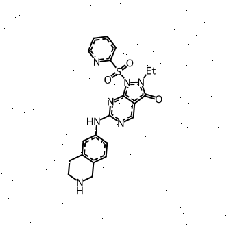 CCn1c(=O)c2cnc(Nc3ccc4c(c3)CCNC4)nc2n1S(=O)(=O)c1ccccn1